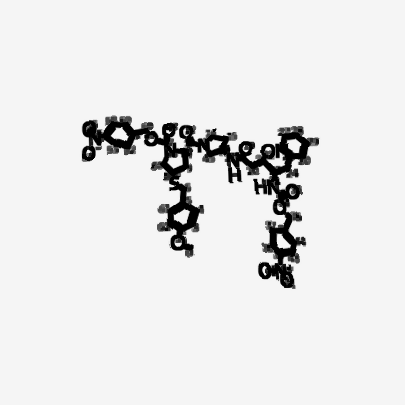 COc1ccc(CS[C@H]2C[C@@H](C(=O)N3CC[C@H](NC(=O)CC(O)C(Cc4ccccc4)NC(=O)OCc4ccc([N+](=O)[O-])cc4)C3)N(C(=O)OCc3ccc([N+](=O)[O-])cc3)C2)cc1